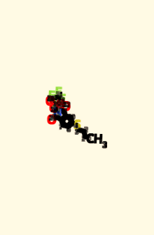 CCCCSc1ccc2c(c1)C(=O)N(OS(=O)(=O)C(F)(F)F)C2=O